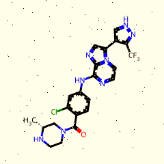 C[C@@H]1CN(C(=O)c2ccc(Nc3nccn4c(-c5c[nH]nc5C(F)(F)F)cnc34)cc2Cl)CCN1